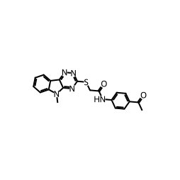 CC(=O)c1ccc(NC(=O)CSc2nnc3c4ccccc4n(C)c3n2)cc1